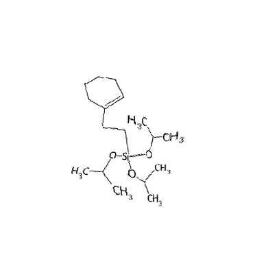 CC(C)O[Si](CCC1=CCCCC1)(OC(C)C)OC(C)C